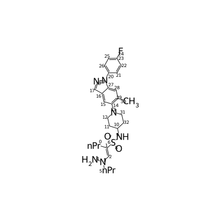 CCC/C(=C\N(N)CCC)S(=O)(=O)NC1CCN(c2cc3cnn(-c4ccc(F)cc4)c3cc2C)CC1